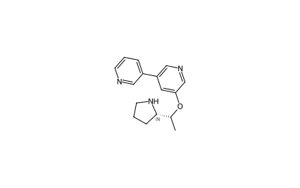 CC(Oc1cncc(-c2cccnc2)c1)[C@@H]1CCCN1